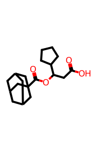 O=C(O)CC(OC(=O)C12CC3CC(CC(C3)C1)C2)C1CCCC1